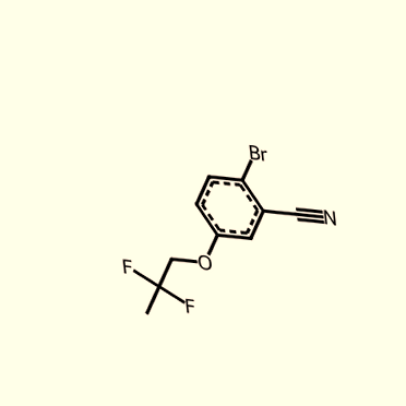 CC(F)(F)COc1ccc(Br)c(C#N)c1